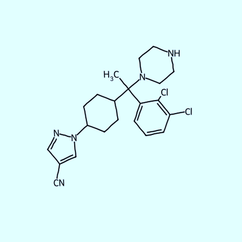 CC(c1cccc(Cl)c1Cl)(C1CCC(n2cc(C#N)cn2)CC1)N1CCNCC1